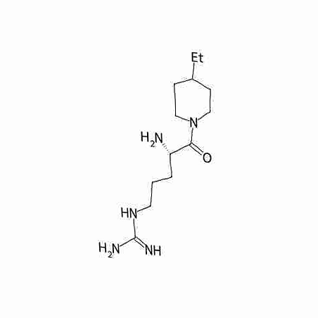 CCC1CCN(C(=O)[C@@H](N)CCCNC(=N)N)CC1